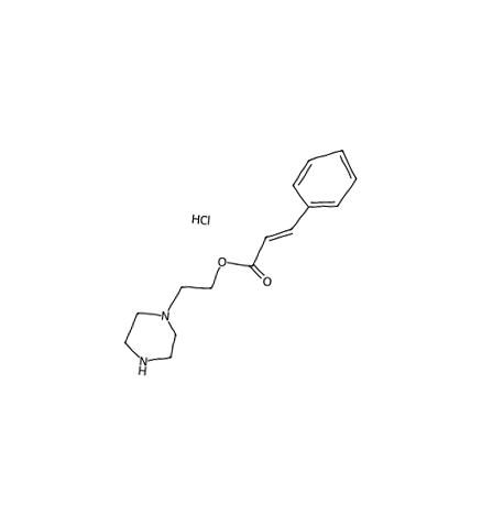 Cl.O=C(C=Cc1ccccc1)OCCN1CCNCC1